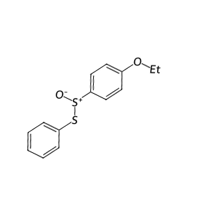 CCOc1ccc([S+]([O-])Sc2ccccc2)cc1